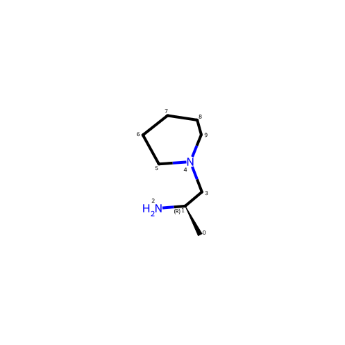 C[C@@H](N)CN1CCCCC1